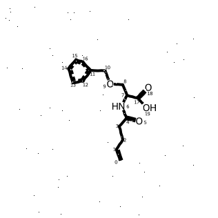 C=CCCC(=O)NC(COCc1ccccc1)C(=O)O